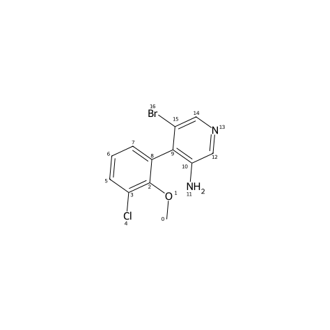 COc1c(Cl)cccc1-c1c(N)cncc1Br